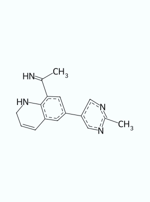 CC(=N)c1cc(-c2cnc(C)nc2)cc2c1NCC=C2